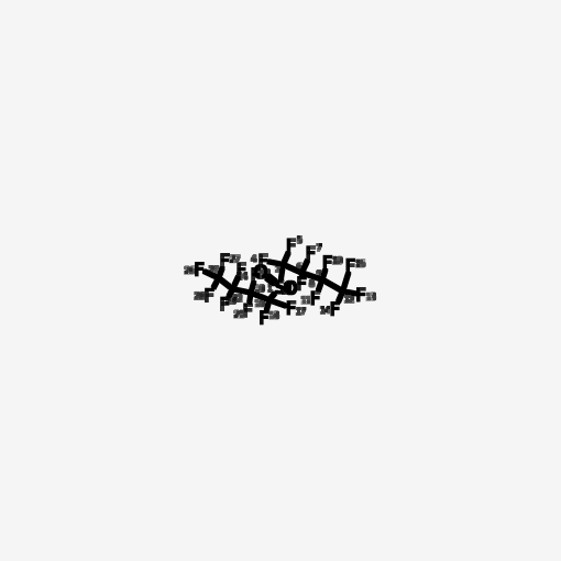 O=S(=O)(C(F)(F)C(F)(F)C(F)(F)C(F)(F)F)C(F)(F)C(F)(F)C(F)(F)C(F)(F)F